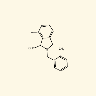 Cc1ccccc1CN1Cc2cccc(I)c2C1C=O